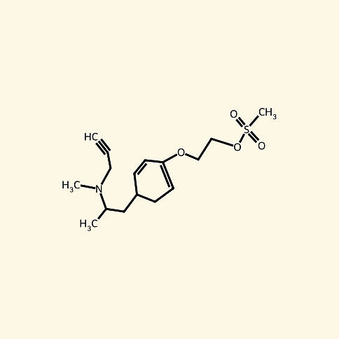 C#CCN(C)C(C)CC1C=CC(OCCOS(C)(=O)=O)=CC1